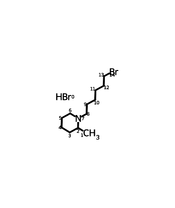 Br.CC1CCCCN1CCCCCCBr